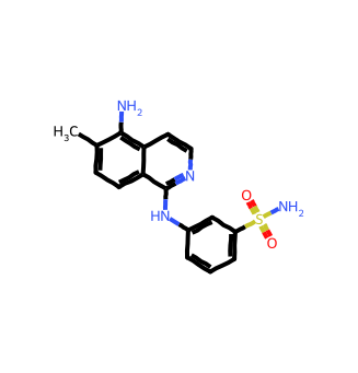 Cc1ccc2c(Nc3cccc(S(N)(=O)=O)c3)nccc2c1N